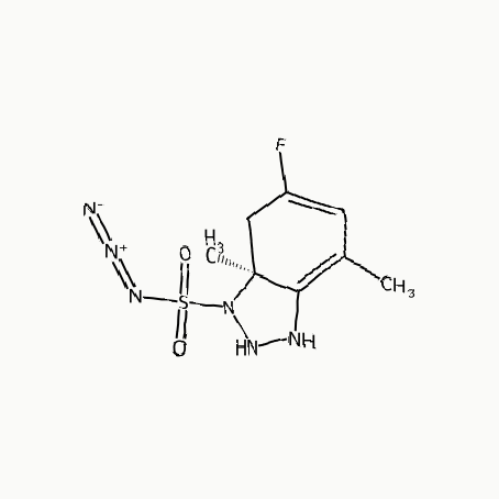 CC1=C2NNN(S(=O)(=O)N=[N+]=[N-])[C@@]2(C)CC(F)=C1